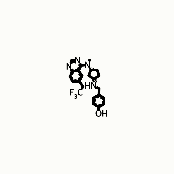 CN(c1ncnc2ccc(CC(F)(F)F)cc12)[C@@H]1CC[C@H](NCc2ccc(O)cc2)C1